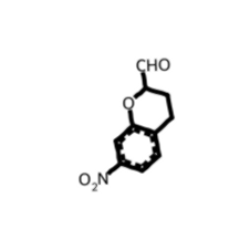 O=CC1CCc2ccc([N+](=O)[O-])cc2O1